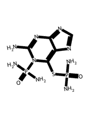 Nc1nc2ncnc-2c(SP(N)(N)=O)n1P(N)(N)=O